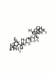 CC(C)(C)NC(=O)N1CCCC1CN1CCC(CNC(=O)c2cc(F)cc(C(F)(F)P)c2)CC1